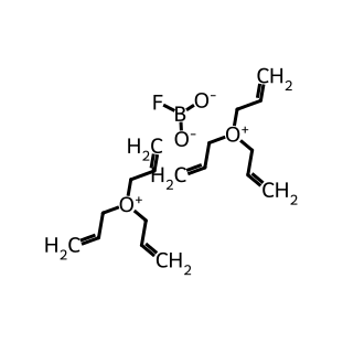 C=CC[O+](CC=C)CC=C.C=CC[O+](CC=C)CC=C.[O-]B([O-])F